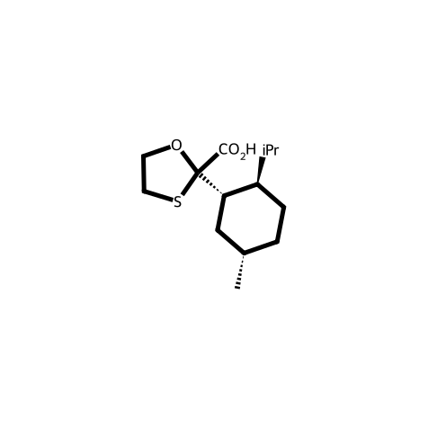 CC(C)[C@H]1CC[C@H](C)C[C@@H]1C1(C(=O)O)OCCS1